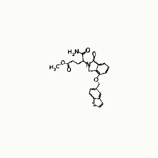 COC(=O)CCC(C(N)=O)N1Cc2c(OCc3ccc4sccc4c3)cccc2C1=O